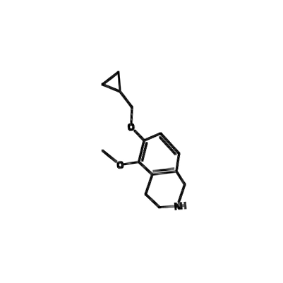 COc1c(OCC2CC2)ccc2c1CCNC2